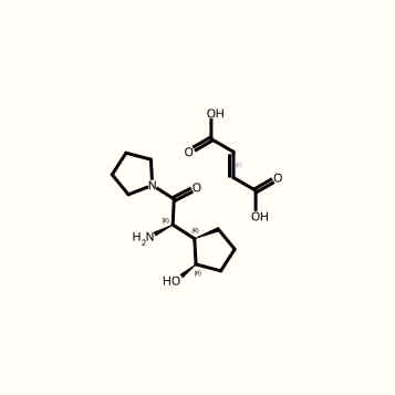 N[C@@H](C(=O)N1CCCC1)[C@H]1CCC[C@H]1O.O=C(O)/C=C/C(=O)O